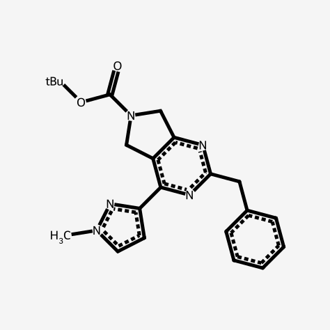 Cn1ccc(-c2nc(Cc3ccccc3)nc3c2CN(C(=O)OC(C)(C)C)C3)n1